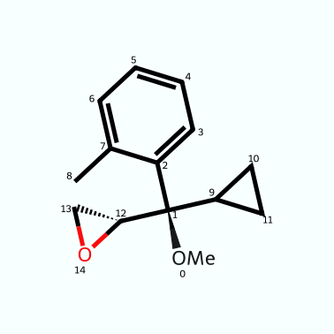 CO[C@@](c1ccccc1C)(C1CC1)[C@H]1CO1